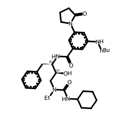 CCCCNc1cc(C(=O)N[C@@H](Cc2ccccc2)[C@@H](O)CN(CC)C(=O)NC2CCCCC2)cc(N2CCCC2=O)c1